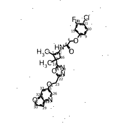 CC1=C(NC(=O)COc2ccc(Cl)c(F)c2)CC1(C)c1nnc(COc2cnc3ccoc3c2)o1